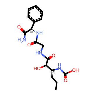 CCC[C@H](NC(=O)O)C(O)C(=O)NCC(=O)N[C@H](C(N)=O)c1ccccc1